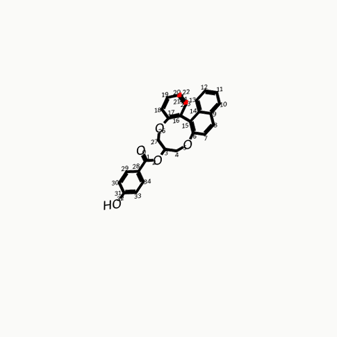 O=C(OC1COc2ccc3ccccc3c2-c2c(ccc3ccccc23)OC1)c1ccc(O)cc1